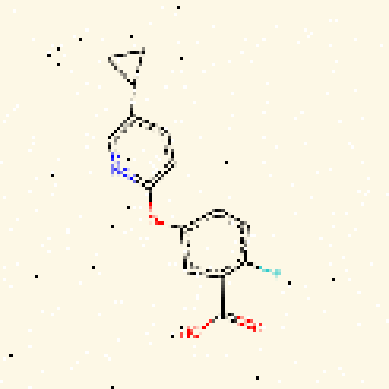 O=C(O)c1cc(Oc2ccc(C3CC3)cn2)ccc1F